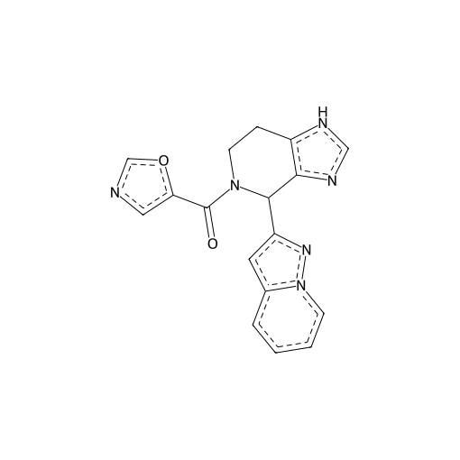 O=C(c1cnco1)N1CCc2[nH]cnc2C1c1cc2ccccn2n1